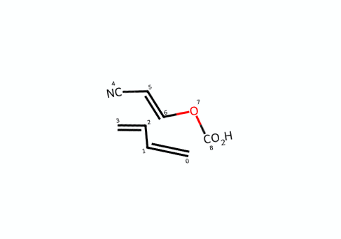 C=CC=C.N#CC=COC(=O)O